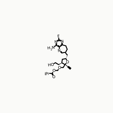 C#C[C@]1(COCOC(=O)C(C)C)O[C@@H](CC2C=Nc3c(N)nc(F)nc3CC2)C[C@@H]1CCO